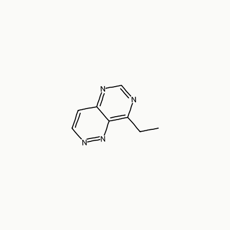 CCc1ncnc2ccnnc12